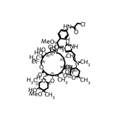 CC[C@H]1OC(=O)[C@H](C)[C@@H](O[C@H]2C[C@@](C)(OC)[C@@H](O)[C@H](C)O2)[C@H](C)[C@@H](O[C@@H]2O[C@H](C)C[C@H](N(C)CCC3=CN([C@H](CF)[C@H](OC)c4ccc(NC(=O)CCl)cc4)NN3)[C@H]2O)[C@](C)(O)C[C@@H](C)CN(C)[C@H](C)[C@@H](O)[C@]1(C)O